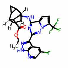 CCOC(=O)[C@H]1[C@H](Nc2nc(-c3n[nH]c4ncc(F)cc34)nn3c(C(F)(F)F)ccc23)[C@@H]2CC[C@H]1C1CC12